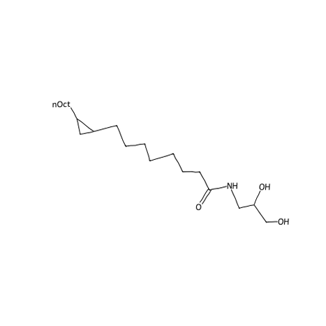 CCCCCCCCC1CC1CCCCCCCC(=O)NCC(O)CO